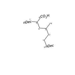 CCCCCCCCCCCCC(C)CC(CCCCCCCCCC)C(=O)O